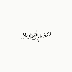 CCN(CC)C1CCN(c2ccc3c(c2)C(C)(C)CN(C[C@H](O)CN2CCc4ccccc4C2)C3=O)CC1